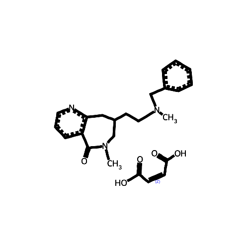 CN(CCC1Cc2ncccc2C(=O)N(C)C1)Cc1ccccc1.O=C(O)/C=C\C(=O)O